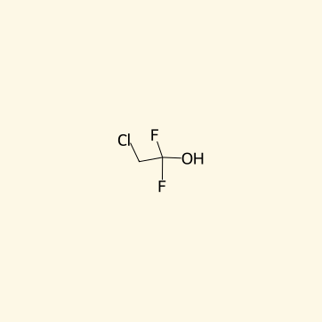 OC(F)(F)CCl